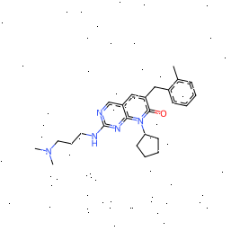 Cc1ccccc1Cc1cc2cnc(NCCCN(C)C)nc2n(C2CCCC2)c1=O